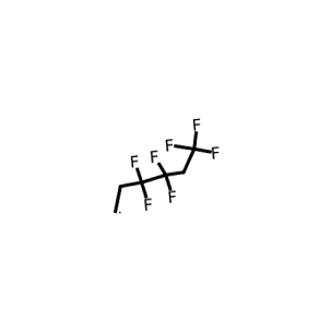 [CH2]CC(F)(F)C(F)(F)CC(F)(F)F